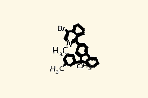 Cc1cc(C)cc(C2(C)c3ccccc3-c3ccc(-c4ncc(Br)c5ccccc45)cc32)c1